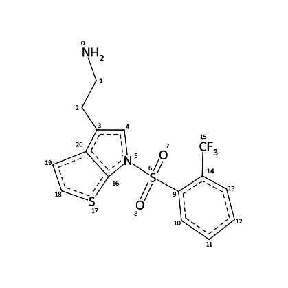 NCCc1cn(S(=O)(=O)c2ccccc2C(F)(F)F)c2sccc12